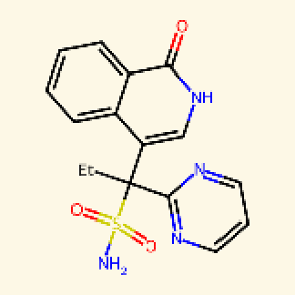 CCC(c1ncccn1)(c1c[nH]c(=O)c2ccccc12)S(N)(=O)=O